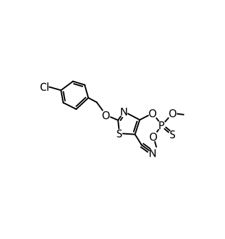 COP(=S)(OC)Oc1nc(OCc2ccc(Cl)cc2)sc1C#N